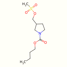 CCCCOC(=O)N1CCC(COS(C)(=O)=O)C1